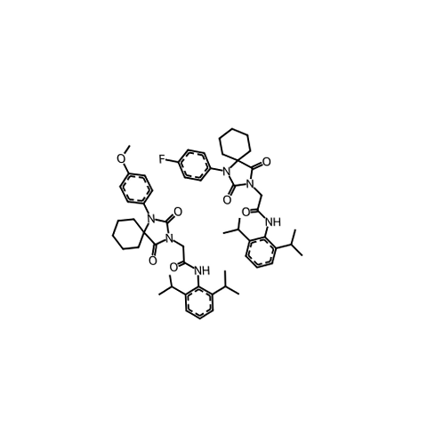 CC(C)c1cccc(C(C)C)c1NC(=O)CN1C(=O)N(c2ccc(F)cc2)C2(CCCCC2)C1=O.COc1ccc(N2C(=O)N(CC(=O)Nc3c(C(C)C)cccc3C(C)C)C(=O)C23CCCCC3)cc1